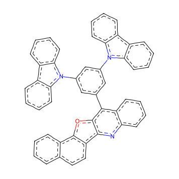 c1ccc2c(c1)ccc1c3nc4ccccc4c(-c4cc(-n5c6ccccc6c6ccccc65)cc(-n5c6ccccc6c6ccccc65)c4)c3oc21